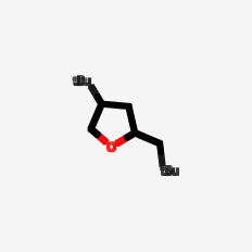 CC(C)(C)CC1CC(C(C)(C)C)CO1